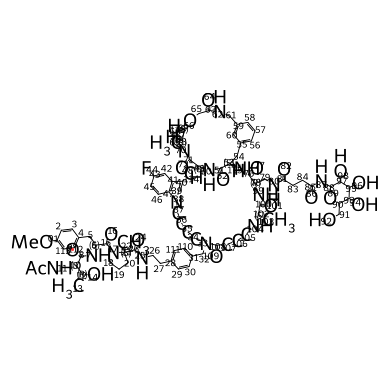 COc1ccc(C[C@H](NC(=O)[C@@H](NC(C)=O)[C@@H](C)O)C(=O)N2CCC[C@@]2(C)C(=O)NCCc2ccc(CN3CCCCn4cc(c5cc(F)ccc54)C[C@@H]4NC(=O)[C@H](Cc5cccc(c5)CNC(=O)CO[C@H]5CCN(C4=O)[C@@H]5C)NC(=O)[C@@H](CNC(=O)CCC(=O)NC4OC(CO)C(O)C(O)C4O)NC(=O)[C@H](C)NCCCC3=O)cc2)cc1